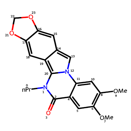 CCCn1c(=O)c2cc(OC)c(OC)cc2n2cc3cc4c(cc3c12)OCO4